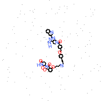 CNc1nc(-c2cnc3ccccc3c2)nc2c1CCN(C(=O)c1ccc(COc3ccc(C#CCN(C)CCCCOc4cccc5c4C(=O)N(C4CCC(=O)NC4=O)C5=O)cc3)cc1)C2